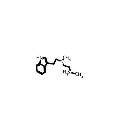 C[SiH2]CCN(C)CCc1c[nH]c2ccccc12